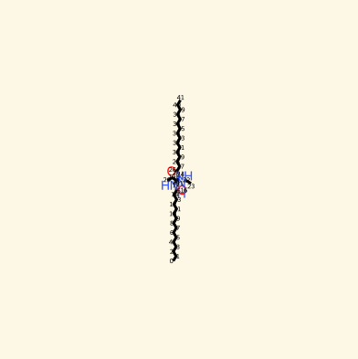 CCCCCCCCCCCCCCCC(=O)NC(CC)(NCC)NC(=O)CCCCCCCCCCCCCCC